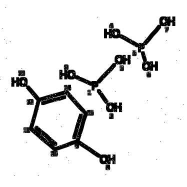 OP(O)O.OP(O)O.Oc1ccc(O)cc1